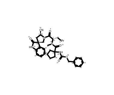 CC(C)C[C@@H](C(=O)N1C[C@]2(C[C@H]1C#N)C(=O)Nc1ccccc12)N(C)C(=O)C1(NC(=O)OCc2ccccc2)CCCC1